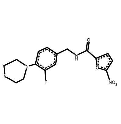 O=C(NCc1ccc(N2CCSCC2)c(F)c1)c1ccc([N+](=O)[O-])o1